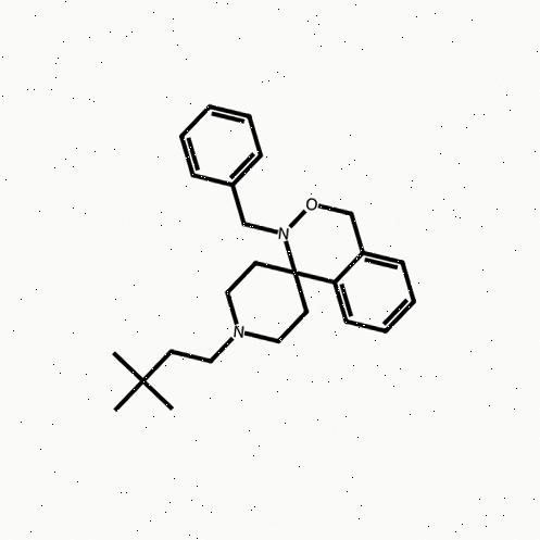 CC(C)(C)CCN1CCC2(CC1)c1ccccc1CON2Cc1ccccc1